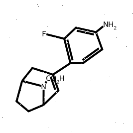 Nc1ccc(C2=CC3CCC(C2)N3C(=O)O)c(F)c1